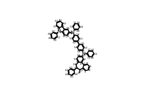 CC1c2ccccc2-c2cc(N(c3ccccc3)c3ccc(-c4ccc(N(c5ccccc5)c5ccc6c(c5)c5ccccc5n6-c5ccccc5)cc4)cc3)ccc2CC1c1ccccc1